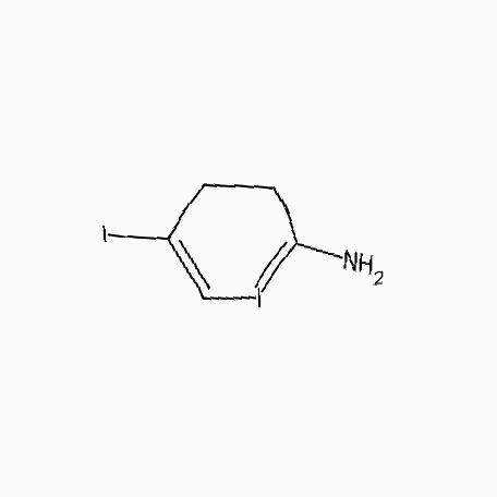 NC1=IC=C(I)CC1